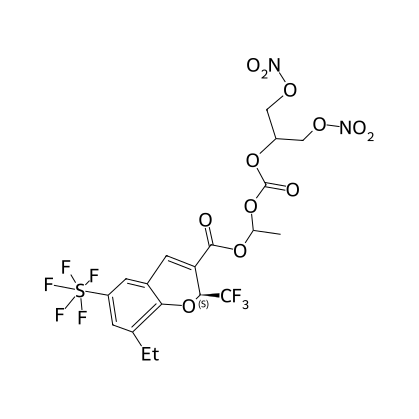 CCc1cc(S(F)(F)(F)(F)F)cc2c1O[C@H](C(F)(F)F)C(C(=O)OC(C)OC(=O)OC(CO[N+](=O)[O-])CO[N+](=O)[O-])=C2